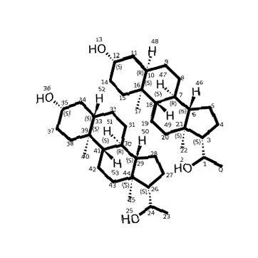 CC(O)[C@H]1CC[C@H]2[C@@H]3CC[C@@H]4C[C@@H](O)CC[C@]4(C)[C@H]3CC[C@]12C.CC(O)[C@H]1CC[C@H]2[C@@H]3CC[C@H]4C[C@@H](O)CC[C@]4(C)[C@H]3CC[C@]12C